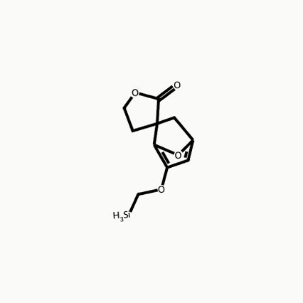 O=C1OCCC12Cc1cc(OC[SiH3])c2o1